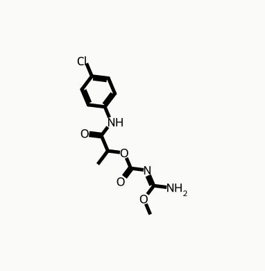 COC(N)=NC(=O)OC(C)C(=O)Nc1ccc(Cl)cc1